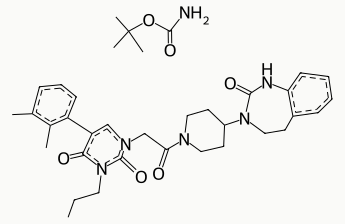 CC(C)(C)OC(N)=O.CCCn1c(=O)c(-c2cccc(C)c2C)cn(CC(=O)N2CCC(N3CCc4ccccc4NC3=O)CC2)c1=O